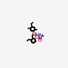 CCc1cc(C)c(OCc2c(CC)cccc2OC(=O)NC)cc1C